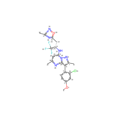 COc1ccc(-c2c(C)nn3c(N[C@@H](Cc4nc(C)no4)C(F)(F)F)cc(C)nc23)c(Cl)c1